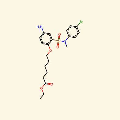 CCOC(=O)CCCCCOc1ccc(N)cc1S(=O)(=O)N(C)c1ccc(Br)cc1